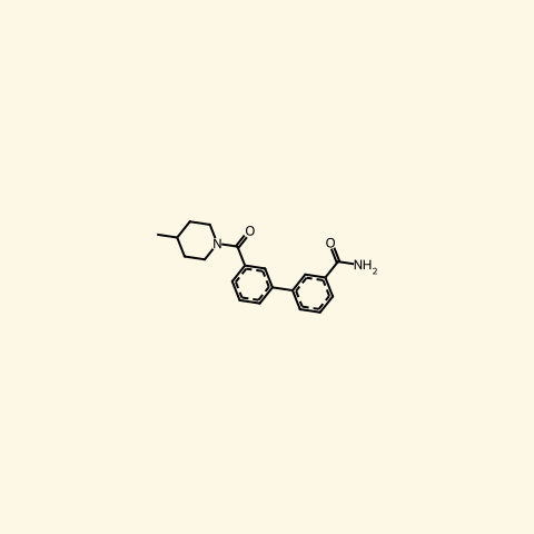 CC1CCN(C(=O)c2cccc(-c3cccc(C(N)=O)c3)c2)CC1